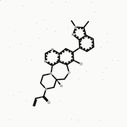 C=CC(=O)N1CCN2c3ncnc4cc(-c5cccc6c(C)n(C)nc56)c(Cl)c(c34)OC[C@@H]2C1